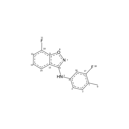 Cc1ccc(Nc2noc3c(F)cccc23)cc1F